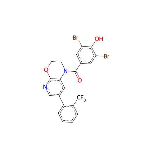 O=C(c1cc(Br)c(O)c(Br)c1)N1CCOc2ncc(-c3ccccc3C(F)(F)F)cc21